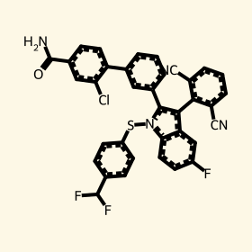 N#Cc1cccc(C#N)c1-c1c(-c2cccc(-c3ccc(C(N)=O)cc3Cl)c2)n(Sc2ccc(C(F)F)cc2)c2ccc(F)cc12